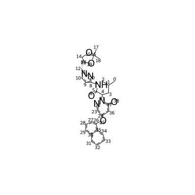 CC(C)CC(C(=O)Nc1ccn(C[C@@H]2COC(C)(C)O2)n1)n1ncc(Oc2cccc3ccccc23)cc1=O